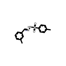 Cc1ccc(S(=O)(=O)N/N=C/c2cccc(C)c2)cc1